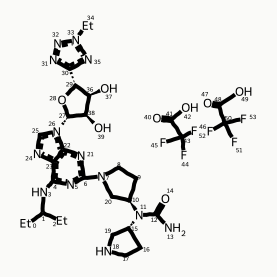 CCC(CC)Nc1nc(N2CC[C@@H](N(C(N)=O)[C@@H]3CCNC3)C2)nc2c1ncn2[C@@H]1O[C@H](c2nnn(CC)n2)[C@@H](O)[C@H]1O.O=C(O)C(F)(F)F.O=C(O)C(F)(F)F